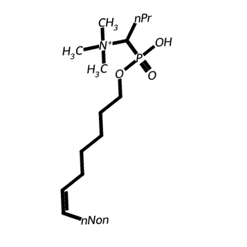 CCCCCCCCC/C=C\CCCCCOP(=O)(O)C(CCC)[N+](C)(C)C